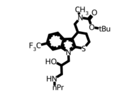 CCCNCC(O)Cn1c2c(c3ccc(C(F)(F)F)cc31)C(CN(C)C(=O)OC(C)(C)C)CCS2